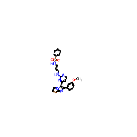 COc1cccc(-c2nc3sccn3c2-c2ccnc(NCCCNS(=O)(=O)c3ccccc3)n2)c1